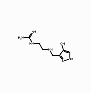 N=C(N)NCCNCc1n[nH]cc1O